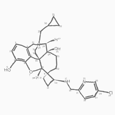 Oc1ccc2c3c1O[C@H]1[C@@]4(CC[C@@H]4NCc4ccc(Cl)cn4)CC[C@@]4(O)[C@@H](C2)N(CC2CC2)CC[C@]314